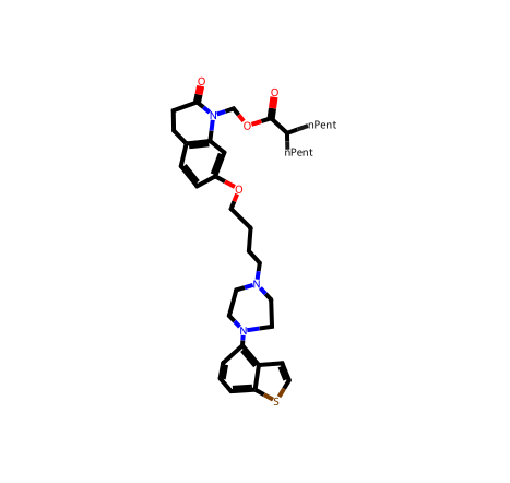 CCCCCC(CCCCC)C(=O)OCN1C(=O)CCc2ccc(OCCCCN3CCN(c4cccc5sccc45)CC3)cc21